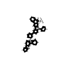 CC1(C)c2ccccc2-c2cc3c4cc(-c5cccc(-n6c7ccccc7c7c8sc9ccccc9c8ccc76)c5)ccc4n(-c4ccccc4)c3cc21